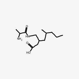 CCCC(C)CC(CNC(=O)C(C)N)CC(=O)O